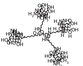 CC(=O)N[C@H]1[C@H]([C@H](OC(=O)NCCCCCCCC(=O)CN(CCN(CC(=O)NCCCCCCNC(=O)O[C@H](C(O)CO)[C@@H]2OC(C(=O)O)=C[C@H](NC(=N)N)[C@H]2NC(C)=O)CC(=O)NCCCCCCNC(=O)O[C@H](C(O)CO)[C@@H]2OC(C(=O)O)=C[C@H](NC(=N)N)[C@H]2NC(C)=O)CC(=O)NCCCCCCNC(=O)O[C@H](C(O)CO)[C@@H]2OC(C(=O)O)=C[C@H](NC(=N)N)[C@H]2NC(C)=O)[C@H](O)CO)OC(C(=O)O)=C[C@@H]1NC(=N)N